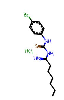 CCCCCCC(=N)NC(=S)Nc1ccc(Br)cc1.Cl